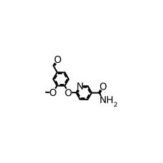 COc1cc(C=O)ccc1Oc1ccc(C(N)=O)cn1